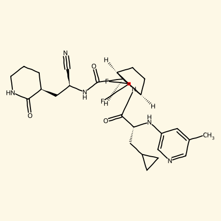 Cc1cncc(N[C@H](CC2CC2)C(=O)N2[C@@H]3CC[C@H]([C@@H]2C(=O)N[C@H](C#N)C[C@@H]2CCCNC2=O)C(F)(F)C3)c1